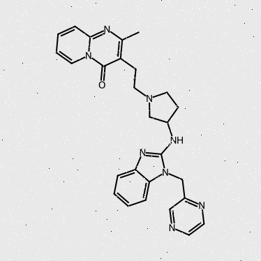 Cc1nc2ccccn2c(=O)c1CCN1CCC(Nc2nc3ccccc3n2Cc2cnccn2)C1